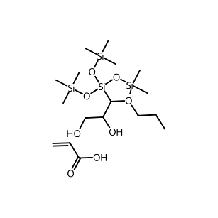 C=CC(=O)O.CCCOC(C(O)CO)[Si](O[Si](C)(C)C)(O[Si](C)(C)C)O[Si](C)(C)C